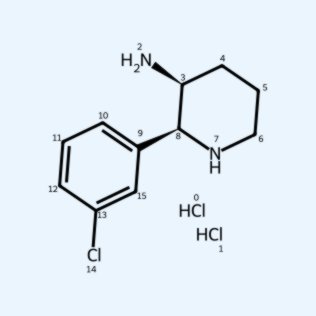 Cl.Cl.N[C@H]1CCCN[C@H]1c1cccc(Cl)c1